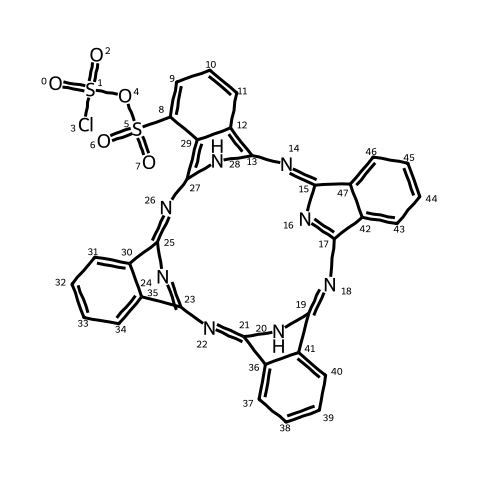 O=S(=O)(Cl)OS(=O)(=O)c1cccc2c3nc4nc(nc5[nH]c(nc6nc(nc([nH]3)c12)-c1ccccc1-6)c1ccccc51)-c1ccccc1-4